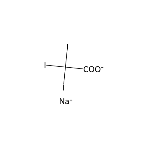 O=C([O-])C(I)(I)I.[Na+]